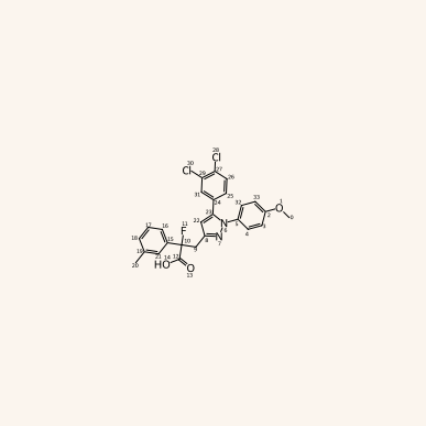 COc1ccc(-n2nc(CC(F)(C(=O)O)c3cccc(C)c3)cc2-c2ccc(Cl)c(Cl)c2)cc1